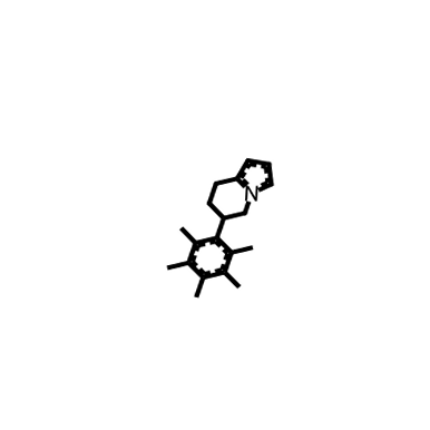 Cc1c(C)c(C)c(C2CCc3cccn3C2)c(C)c1C